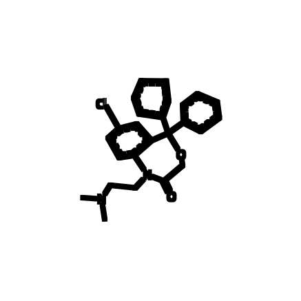 CN(C)CCN1C(=O)COC(c2ccccc2)(c2ccccc2)c2cc(Cl)ccc21